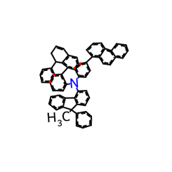 CC1(c2ccccc2)c2ccccc2-c2c(N(c3ccc(-c4cccc5c4ccc4ccccc45)cc3)c3ccccc3-c3cccc4c3C(c3ccccc3)CC=C4)cccc21